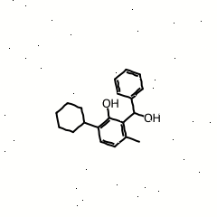 Cc1ccc(C2CCCCC2)c(O)c1C(O)c1ccccc1